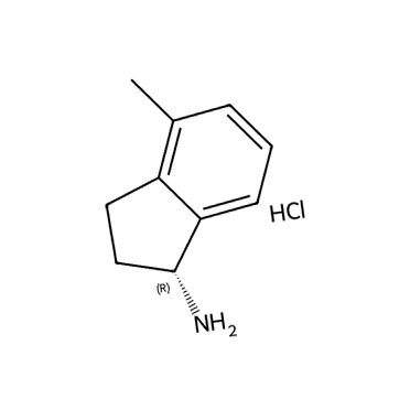 Cc1cccc2c1CC[C@H]2N.Cl